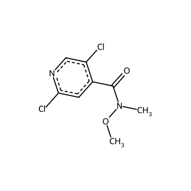 CON(C)C(=O)c1cc(Cl)ncc1Cl